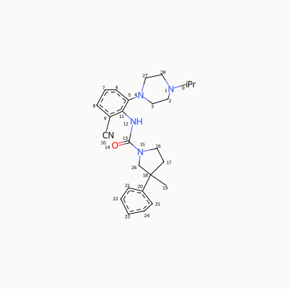 CC(C)N1CCN(c2cccc(C#N)c2NC(=O)N2CCC(C)(c3ccccc3)C2)CC1